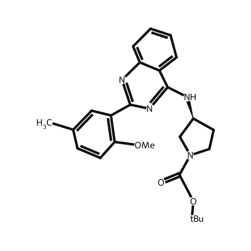 COc1ccc(C)cc1-c1nc(N[C@H]2CCN(C(=O)OC(C)(C)C)C2)c2ccccc2n1